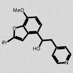 COc1ccc(C(O)Cc2ccncc2)c2cc(C(C)C)oc12